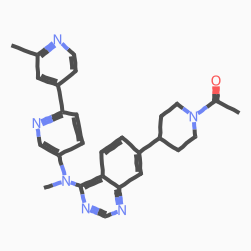 CC(=O)N1CCC(c2ccc3c(N(C)c4ccc(-c5ccnc(C)c5)nc4)ncnc3c2)CC1